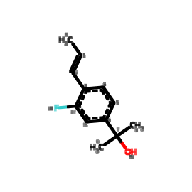 CC=Cc1ccc(C(C)(C)O)cc1F